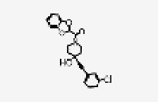 O=C(C1Oc2ccccc2O1)N1CCC(O)(C#Cc2cccc(Cl)c2)CC1